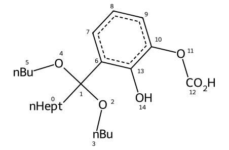 CCCCCCCC(OCCCC)(OCCCC)c1cccc(OC(=O)O)c1O